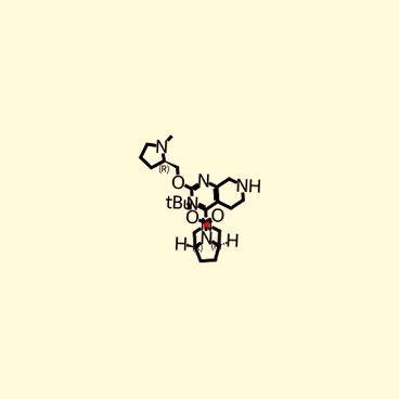 CN1CCC[C@@H]1COc1nc2c(c(N3C[C@H]4CC[C@H](C3)N4C(=O)OC(C)(C)C)n1)CCNC2